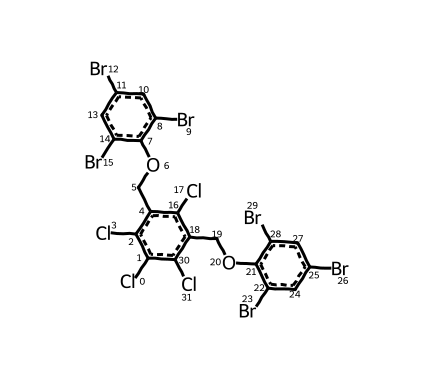 Clc1c(Cl)c(COc2c(Br)cc(Br)cc2Br)c(Cl)c(COc2c(Br)cc(Br)cc2Br)c1Cl